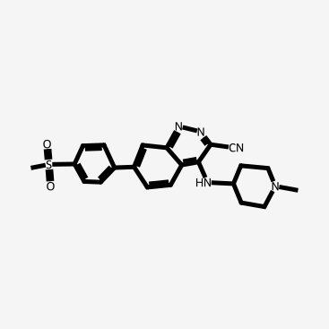 CN1CCC(Nc2c(C#N)nnc3cc(-c4ccc(S(C)(=O)=O)cc4)ccc23)CC1